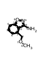 COCc1cccc2onc(N)c12